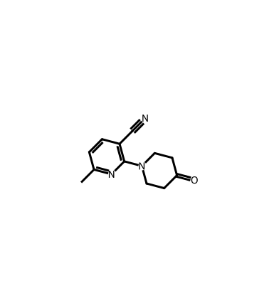 Cc1ccc(C#N)c(N2CCC(=O)CC2)n1